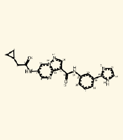 O=C(CC1CC1)Nc1cnc2c(C(=O)Nc3cccc(-c4ncc[nH]4)c3)cnn2c1